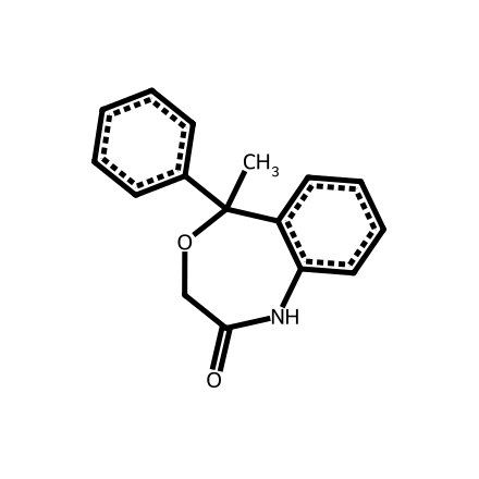 CC1(c2ccccc2)OCC(=O)Nc2ccccc21